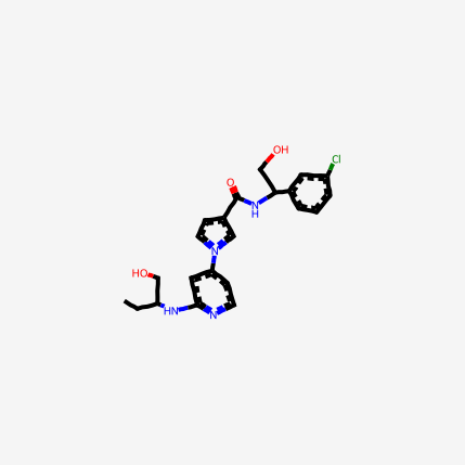 CCC(CO)Nc1cc(-n2ccc(C(=O)NC(CO)c3cccc(Cl)c3)c2)ccn1